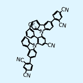 N#Cc1ccc(-c2ccc3c(c2)c2ccccc2n3-c2cc(C#N)cc(-n3c4ccccc4c4cc(-c5ccc(C#N)cc5C#N)ccc43)c2-c2cccc(C(F)(F)F)c2)c(C#N)c1